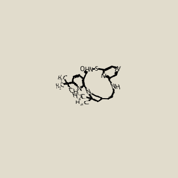 CC(C)(C)c1ccc2c(n1)N1CC(CCCNc3cncc(n3)SNC2=O)CC1(C)C